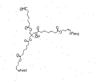 CCCCC/C=C\CCOC(=O)CCCCCC(=O)OCC(CO)(COC(=O)CCCCCC=O)COC(=O)CCCCCC(=O)OCC/C=C\CCCCC